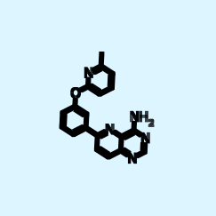 Cc1cccc(Oc2cccc(-c3ccc4ncnc(N)c4n3)c2)n1